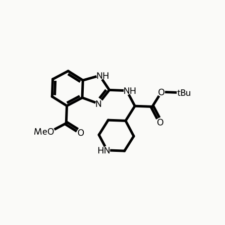 COC(=O)c1cccc2[nH]c(NC(C(=O)OC(C)(C)C)C3CCNCC3)nc12